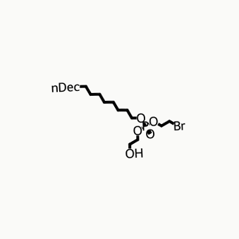 CCCCCCCCCCCCCCCCCCOP(=O)(OCCO)OCCBr